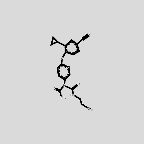 CCCNC(=O)N(C(C)=O)c1ccc(Oc2ccc(C#N)cc2C2CC2)nc1